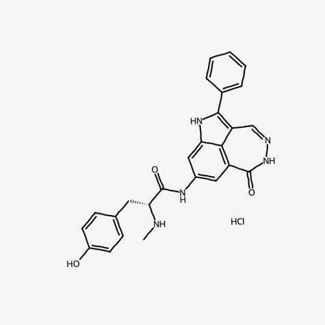 CN[C@H](Cc1ccc(O)cc1)C(=O)Nc1cc2c3c(c(-c4ccccc4)[nH]c3c1)C=NNC2=O.Cl